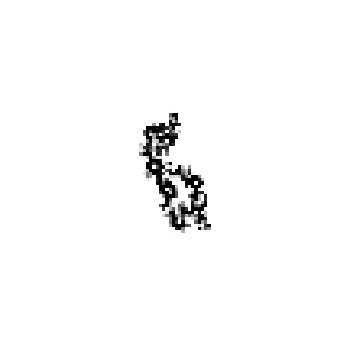 COC(=O)NC(C(=O)N1[C@H](C)[C@H](C)C[C@H]1c1ncc(-c2ccc3c(c2)cc2n3C(c3cnc(C4(C)CCCC4)s3)Oc3cc(-c4cnc([C@@H]5CCCN5C(=O)[C@@H](NC(=O)OC)C(C)C)[nH]4)cc(F)c3-2)[nH]1)C1CCOC(C)(C)C1